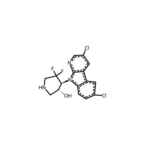 O[C@@H]1CNCC(F)(F)[C@H]1n1c2ccc(Cl)cc2c2cc(Cl)cnc21